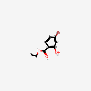 CCOC(=O)c1ccc(Br)cc1O